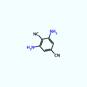 N#Cc1cc(N)c(C#N)c(N)c1